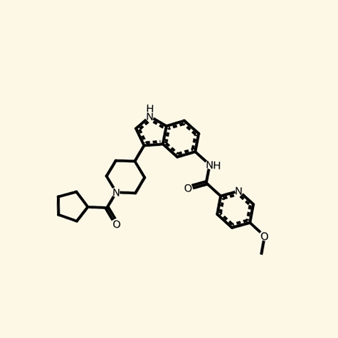 COc1ccc(C(=O)Nc2ccc3[nH]cc(C4CCN(C(=O)C5CCCC5)CC4)c3c2)nc1